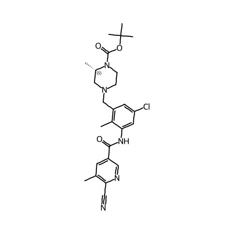 Cc1cc(C(=O)Nc2cc(Cl)cc(CN3CCN(C(=O)OC(C)(C)C)[C@@H](C)C3)c2C)cnc1C#N